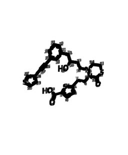 O=C(O)c1ccc(CCN2C(=O)SCCN2CCC(O)Cc2cccc(C#Cc3ccsc3)c2)s1